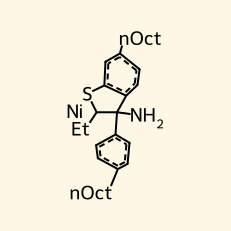 CCCCCCCCc1ccc(C2(N)c3ccc(CCCCCCCC)cc3SC2CC)cc1.[Ni]